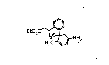 CCOC(=O)CCc1ccccc1C1(C)CC(N)=CC=C1C